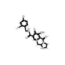 O=C(NCc1ccc(F)cc1F)c1cn2c(c(O)c1=O)C(=O)N1CCOC1C2